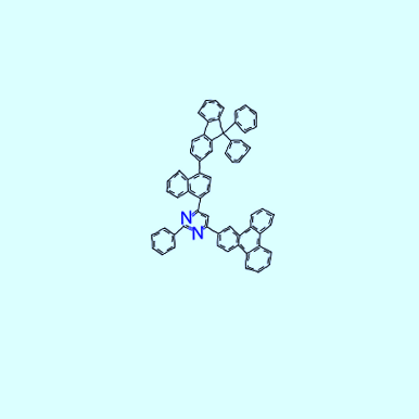 c1ccc(-c2nc(-c3ccc4c5ccccc5c5ccccc5c4c3)cc(-c3ccc(-c4ccc5c(c4)C(c4ccccc4)(c4ccccc4)c4ccccc4-5)c4ccccc34)n2)cc1